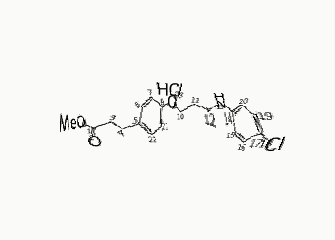 COC(=O)CCc1ccc(OCCCNc2ccc(Cl)cc2)cc1.Cl